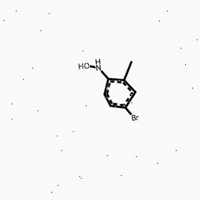 Cc1cc(Br)ccc1NO